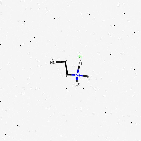 CC[N+](CC)(CC)CCC#N.[Br-]